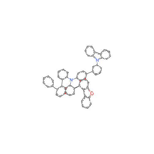 c1ccc(-c2ccccc2-c2ccccc2N(c2ccc(-c3cccc(-n4c5ccccc5c5ccccc54)c3)cc2)c2ccccc2-c2cccc3oc4ccccc4c23)cc1